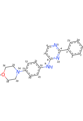 c1ccc(-c2nccc(Nc3ccc(N4CCOCC4)cc3)n2)cc1